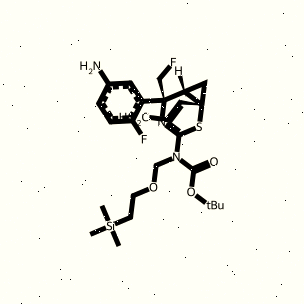 CC(C)(C)OC(=O)N(COCC[Si](C)(C)C)C1=N[C@](CF)(c2cc(N)ccc2F)[C@@H]2C[C@]2(C=CC(=O)O)S1